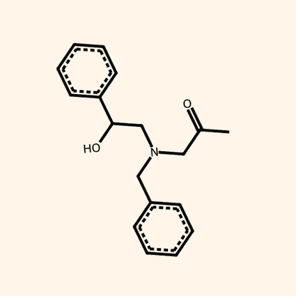 CC(=O)CN(Cc1ccccc1)CC(O)c1ccccc1